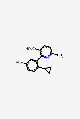 Cc1ccc(C(=O)O)c(-c2cc(C#N)ccc2C2CC2)n1